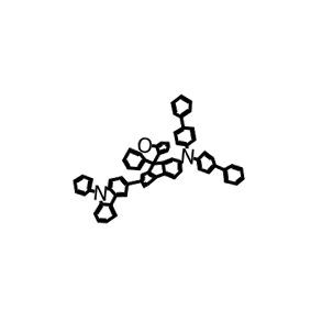 c1ccc(-c2ccc(N(c3ccc(-c4ccccc4)cc3)c3ccc4c(c3)C3(c5ccccc5Oc5ccccc53)c3cc(-c5ccc6c(c5)c5ccccc5n6-c5ccccc5)ccc3-4)cc2)cc1